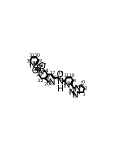 C[C@@H]1CCc2nnc(-c3cccc(NC(=O)c4cc5c(cn4)CCN(S(=O)(=O)c4ccccn4)C5)n3)n21